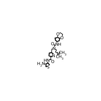 CN(C)CCN(Cc1ccc(C(=O)Nc2cscc2N)nc1)C(=O)Nc1ccc2c(c1)OCCO2